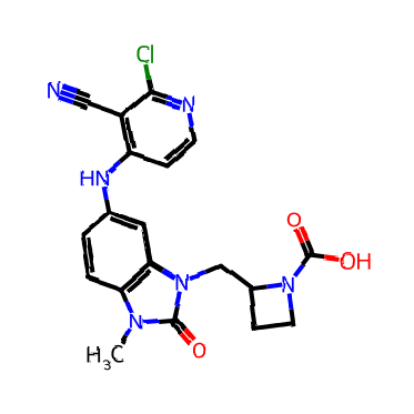 Cn1c(=O)n(CC2CCN2C(=O)O)c2cc(Nc3ccnc(Cl)c3C#N)ccc21